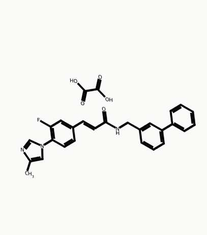 Cc1cn(-c2ccc(/C=C/C(=O)NCc3cccc(-c4ccccc4)c3)cc2F)cn1.O=C(O)C(=O)O